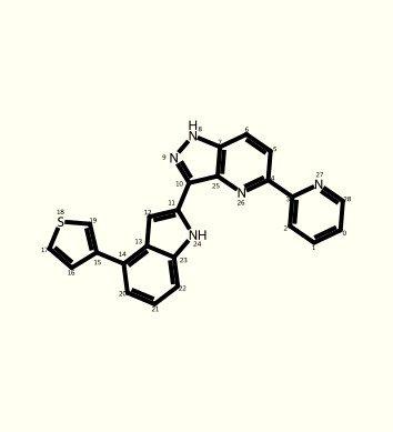 c1ccc(-c2ccc3[nH]nc(-c4cc5c(-c6ccsc6)cccc5[nH]4)c3n2)nc1